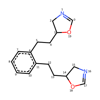 C1=NCC(CCc2ccccc2CCC2CN=CO2)O1